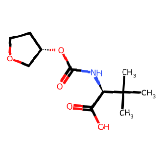 CC(C)(C)[C@H](NC(=O)O[C@H]1CCOC1)C(=O)O